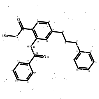 CC(C)(C)OC(=O)c1ccc(CCCc2ccccc2)cc1NC(=O)c1ccccc1